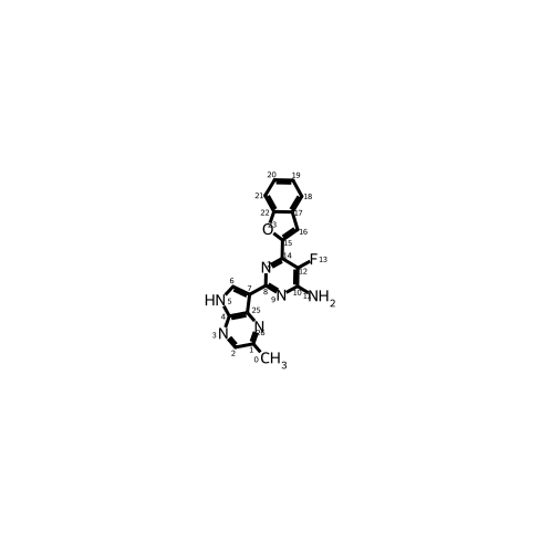 Cc1cnc2[nH]cc(-c3nc(N)c(F)c(-c4cc5ccccc5o4)n3)c2n1